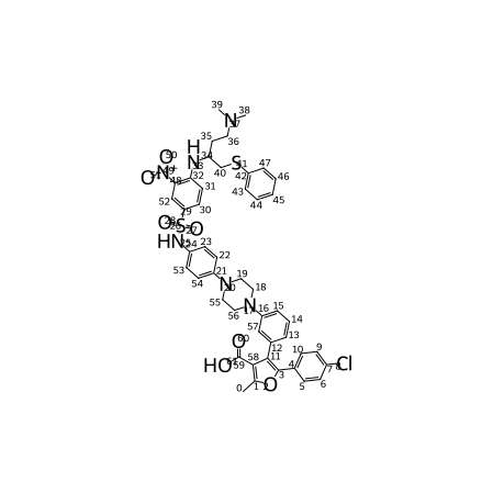 Cc1oc(-c2ccc(Cl)cc2)c(-c2cccc(N3CCN(c4ccc(NS(=O)(=O)c5ccc(NC(CCN(C)C)CSc6ccccc6)c([N+](=O)[O-])c5)cc4)CC3)c2)c1C(=O)O